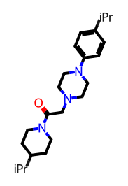 CC(C)c1ccc(N2CCN(CC(=O)N3CCC(C(C)C)CC3)CC2)cc1